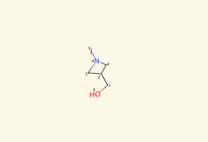 OCC1CN(I)C1